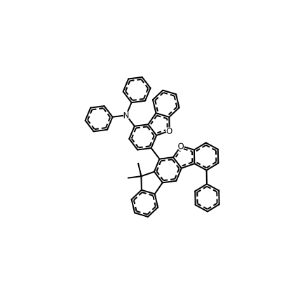 CC1(C)c2ccccc2-c2cc3c(oc4cccc(-c5ccccc5)c43)c(-c3ccc(N(c4ccccc4)c4ccccc4)c4c3oc3ccccc34)c21